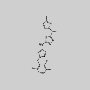 Cc1ccn(C(C)c2nnc(Nc3ccn(Cc4c(F)ccc(C)c4F)n3)s2)n1